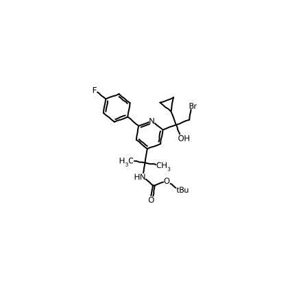 CC(C)(C)OC(=O)NC(C)(C)c1cc(-c2ccc(F)cc2)nc(C(O)(CBr)C2CC2)c1